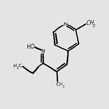 CCC(=NO)C(C)=Cc1ccnc(C)c1